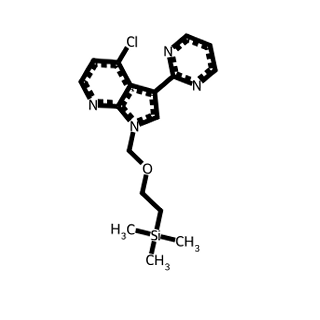 C[Si](C)(C)CCOCn1cc(-c2ncccn2)c2c(Cl)ccnc21